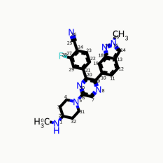 CNC1CCN(c2cnc(-c3ccc4cn(C)nc4c3)c(-c3ccc(C#N)c(F)c3)n2)CC1